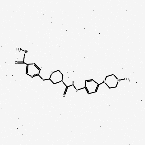 CN1CCN(c2ccc(SNC(=O)N3CCOC(Cc4ccc(C(=O)NN)cn4)C3)cc2)CC1